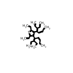 C=C/C=C\C(=C(C=C)C=C)c1c(C=C)sc(C=C)c1C(/C=C\C=C)=C(C=C)C=C